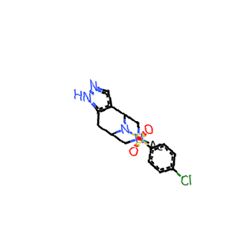 CC(=O)N1CC2Cc3[nH]ncc3C(C1)N2S(=O)(=O)c1ccc(Cl)cc1